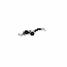 CC#CCCCCOc1cccc(NC(=O)c2ccc3nc(C)sc3c2)c1F